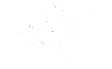 Nc1nc2c(nnn2[C@@H]2O[C@H](CO)C[C@H]2OP(=O)(S)OC[C@H]2O[C@@H](n3nnc4c3N=CNC4N)[C@@H](F)[C@@H]2O[PH](=O)S)c(=O)[nH]1